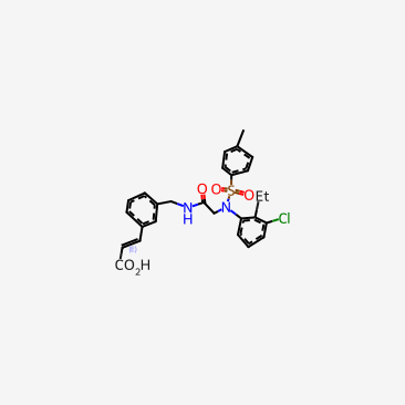 CCc1c(Cl)cccc1N(CC(=O)NCc1cccc(/C=C/C(=O)O)c1)S(=O)(=O)c1ccc(C)cc1